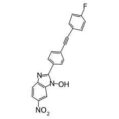 O=[N+]([O-])c1ccc2nc(-c3ccc(C#Cc4ccc(F)cc4)cc3)n(O)c2c1